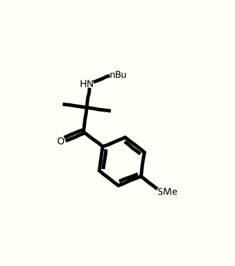 CCCCNC(C)(C)C(=O)c1ccc(SC)cc1